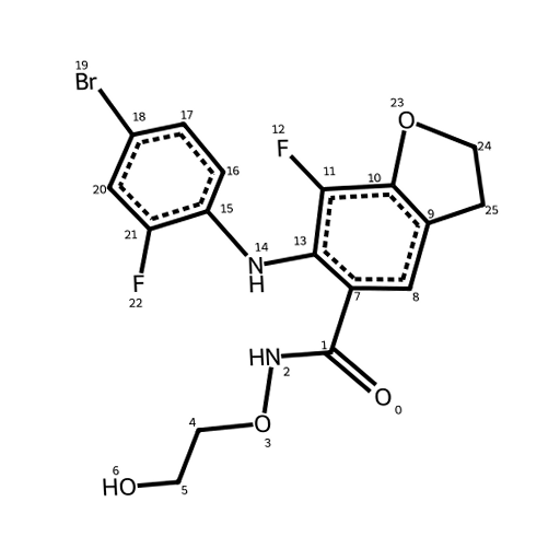 O=C(NOCCO)c1cc2c(c(F)c1Nc1ccc(Br)cc1F)OCC2